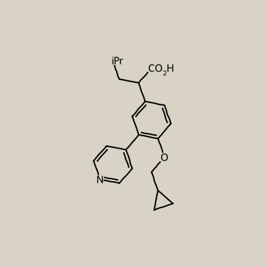 CC(C)CC(C(=O)O)c1ccc(OCC2CC2)c(-c2ccncc2)c1